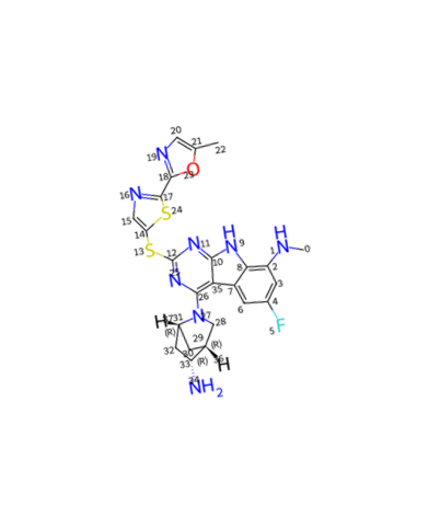 CNc1cc(F)cc2c1[nH]c1nc(Sc3cnc(-c4ncc(C)o4)s3)nc(N3C[C@H]4C[C@@H]3C[C@H]4N)c12